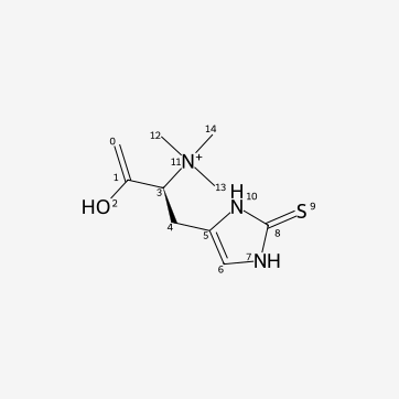 C=C(O)[C@H](Cc1c[nH]c(=S)[nH]1)[N+](C)(C)C